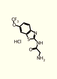 Cl.NCC(=O)Nc1nc2ccc(OC(F)(F)F)cc2s1